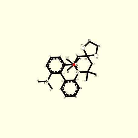 CN(C)c1cccc(N(C)C)c1-c1ccccc1P1C(C)(C)CC2(CC1(C)C)OCCO2